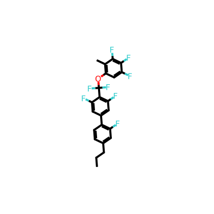 CCCc1ccc(-c2cc(F)c(C(F)(F)Oc3cc(F)c(F)c(F)c3C)c(F)c2)c(F)c1